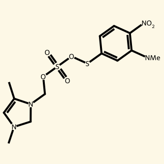 CNc1cc(SOS(=O)(=O)OCN2CN(C)C=C2C)ccc1[N+](=O)[O-]